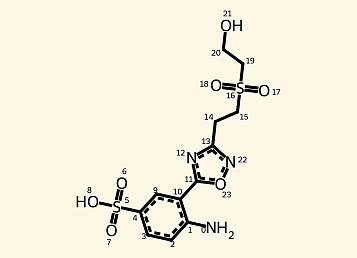 Nc1ccc(S(=O)(=O)O)cc1-c1nc(CCS(=O)(=O)CCO)no1